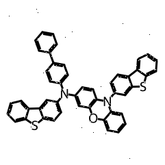 c1ccc(-c2ccc(N(c3ccc4c(c3)Oc3ccccc3N4c3ccc4c(c3)sc3ccccc34)c3ccc4sc5ccccc5c4c3)cc2)cc1